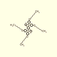 CCCCCCCCOc1ccc(C2(c3ccc(OCCCCCCCC)cc3)c3cc4c(cc3-c3ccsc32)C(c2ccc(OCCCCCCCC)cc2)(c2ccc(OCCCCCCCC)cc2)c2sccc2-4)cc1